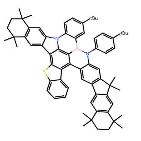 CC(C)(C)c1ccc(N2B3c4cc(C(C)(C)C)ccc4-n4c5cc6c(cc5c5c7sc8ccccc8c7c(c3c54)-c3cc4c(cc32)C(C)(C)c2cc3c(cc2-4)C(C)(C)CCC3(C)C)C(C)(C)CCC6(C)C)cc1